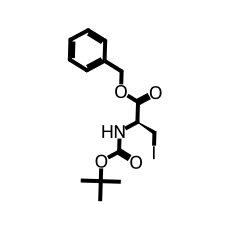 CC(C)(C)OC(=O)N[C@H](CI)C(=O)OCc1ccccc1